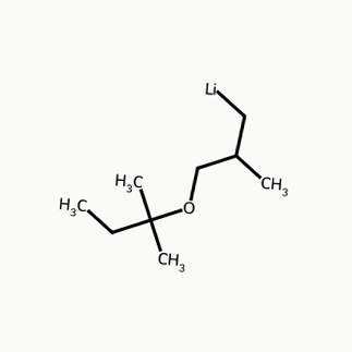 [Li][CH2]C(C)COC(C)(C)CC